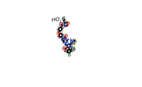 COC(=O)C1=C(CN2CCN3C(=O)N(c4ccc(Oc5ccc(C(=O)N6CCOCC6CCC(=O)O)cc5)cc4)CC3C2)NC(c2nccs2)=NC1c1ccc(F)cc1Cl